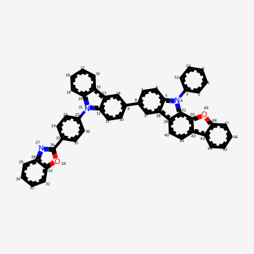 c1ccc(-n2c3ccc(-c4ccc5c(c4)c4ccccc4n5-c4ccc(-c5nc6ccccc6o5)cc4)cc3c3ccc4c5ccccc5oc4c32)cc1